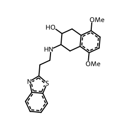 COc1ccc(OC)c2c1CC(O)C(NCCc1nc3ccccc3s1)C2